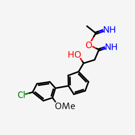 COc1cc(Cl)ccc1-c1cccc(C(O)CC(=N)OC(C)=N)c1